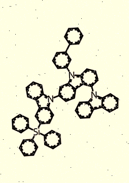 c1ccc(-c2cccc(-n3c4cc(-n5c6ccccc6c6cc([Si](c7ccccc7)(c7ccccc7)c7ccccc7)ccc65)ccc4c4c(-n5c6ccccc6c6ccccc65)cccc43)c2)cc1